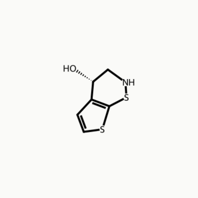 O[C@@H]1CNSc2sccc21